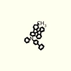 CC1C=C2C(=CC1)c1ccc(N(c3ccccc3)c3ccc(-c4ccccc4)cc3)cc1C21c2ccccc2-c2ccccc21